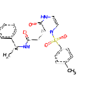 Cc1ccc(S(=O)(=O)N2C=CNC(=O)[C@H]2CC(=O)N[C@H](C)c2ccccc2)cc1